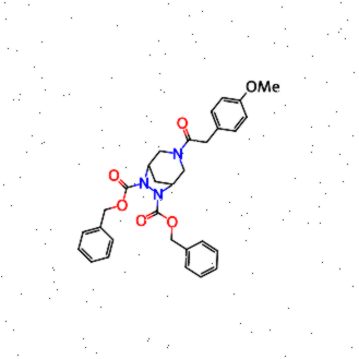 COc1ccc(CC(=O)N2CC3CC(C2)N(C(=O)OCc2ccccc2)N3C(=O)OCc2ccccc2)cc1